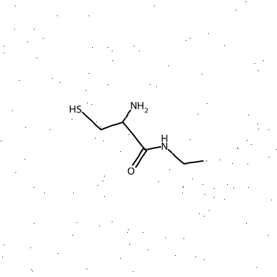 [CH2]CNC(=O)C(N)CS